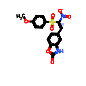 COc1ccc(S(=O)(=O)/C(=C\c2ccc3oc(=O)[nH]c3c2)[N+](=O)[O-])cc1